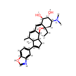 CC1C=C2C=C3[C@@H](O)[C@H](O)[C@@H](N(C)C)C[C@]34CC[C@]2(O4)C2CC=C(c3ccc4ocnc4c3)[C@@]12C